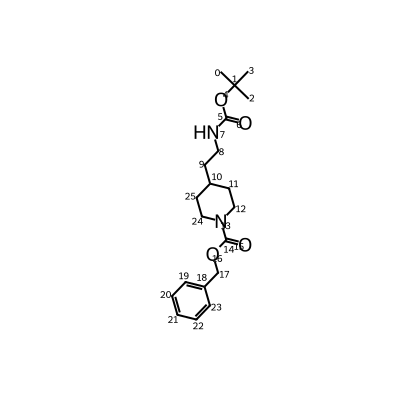 CC(C)(C)OC(=O)NCCC1CCN(C(=O)OCc2ccccc2)CC1